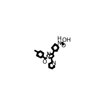 Cc1ccc(C(=O)N2N=C(c3ccc(NC(=O)O)cc3)CC2c2ccccn2)cc1